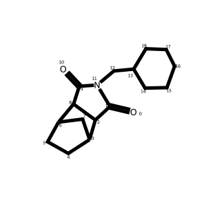 O=C1C2C3CCC(C3)C2C(=O)N1CC1CCCCC1